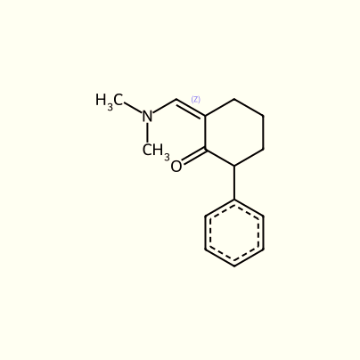 CN(C)/C=C1/CCCC(c2ccccc2)C1=O